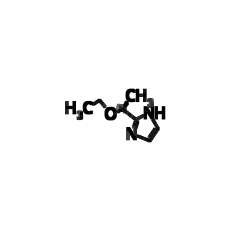 CCO[C@@H](C)c1ncc[nH]1